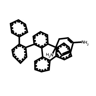 NC1=CCC(N)(c2cccc(-c3ccccc3-c3ccccc3)c2-c2ccccc2-c2ccccc2)C=C1